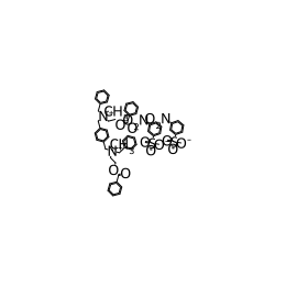 C[N+](CCOC(=O)c1ccccc1)(Cc1ccccc1)Cc1ccc(C[N+](C)(CCOC(=O)c2ccccc2)Cc2ccccc2)cc1.O=[N+]([O-])c1cccc(S(=O)(=O)[O-])c1.O=[N+]([O-])c1cccc(S(=O)(=O)[O-])c1